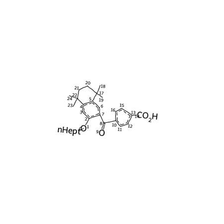 CCCCCCCOc1cc2c(cc1C(=O)c1ccc(C(=O)O)cc1)C(C)(C)CCC2(C)C